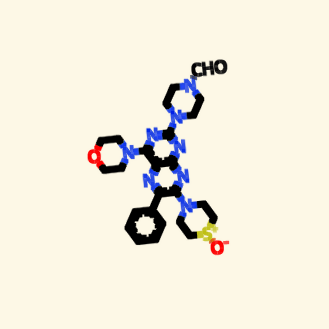 O=CN1CCN(c2nc(N3CCOCC3)c3nc(-c4ccccc4)c(N4CC[S+]([O-])CC4)nc3n2)CC1